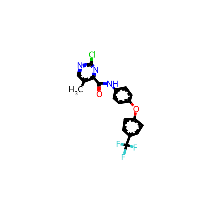 Cc1cnc(Cl)nc1C(=O)Nc1ccc(Oc2ccc(C(F)(F)F)cc2)cc1